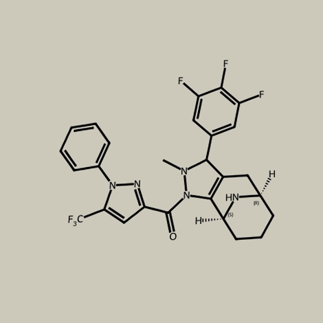 CN1C(c2cc(F)c(F)c(F)c2)C2=C([C@@H]3CCC[C@H](C2)N3)N1C(=O)c1cc(C(F)(F)F)n(-c2ccccc2)n1